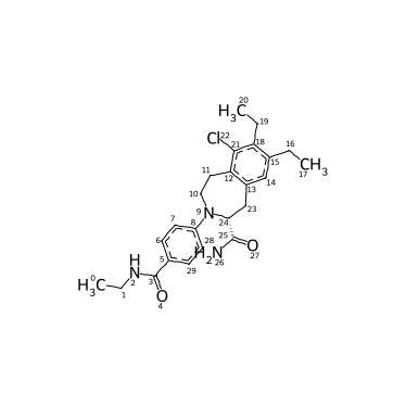 CCNC(=O)c1ccc(N2CCc3c(cc(CC)c(CC)c3Cl)C[C@@H]2C(N)=O)cc1